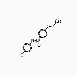 Cc1ccc(N=[N+]([O-])c2ccc(OCC3CO3)cc2)cc1